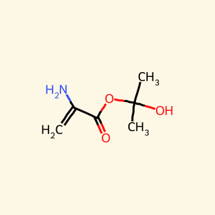 C=C(N)C(=O)OC(C)(C)O